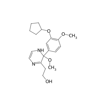 COc1ccc(C2(OC)NC=CN=C2CCO)cc1OC1CCCC1